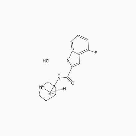 Cl.O=C(N[C@@H]1CN2CCC1CC2)c1cc2c(F)cccc2s1